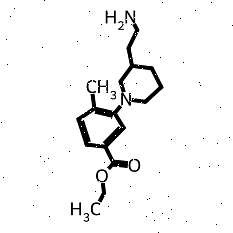 CCOC(=O)c1ccc(C)c(N2CCCC(CCN)C2)c1